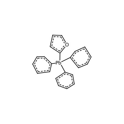 c1cc[c]([Pb]([c]2ccccc2)([c]2ccccc2)[c]2ccco2)cc1